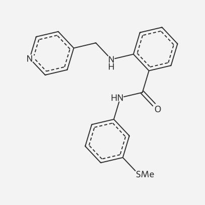 CSc1cccc(NC(=O)c2ccccc2NCc2ccncc2)c1